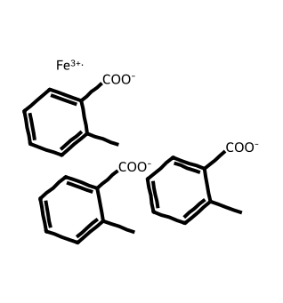 Cc1ccccc1C(=O)[O-].Cc1ccccc1C(=O)[O-].Cc1ccccc1C(=O)[O-].[Fe+3]